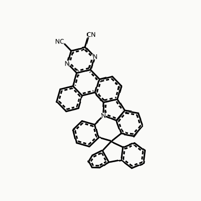 N#Cc1nc2c3ccccc3c3c(ccc4c5cccc6c5n(c43)-c3ccccc3C63c4ccccc4-c4ccccc43)c2nc1C#N